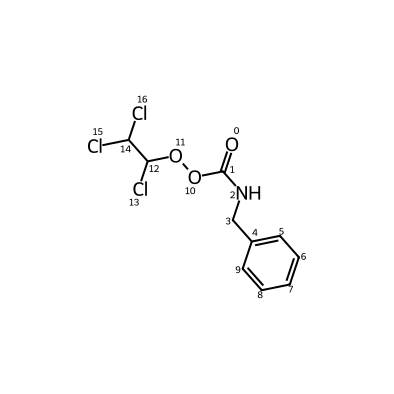 O=C(NCc1ccccc1)OOC(Cl)C(Cl)Cl